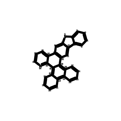 c1ccc2c(c1)sc1cc3c4cccnc4c4c5ccccc5c5ccccc5c4c3cc12